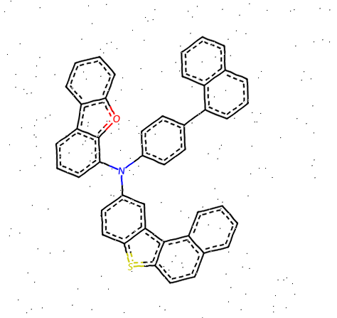 c1ccc2c(-c3ccc(N(c4ccc5sc6ccc7ccccc7c6c5c4)c4cccc5c4oc4ccccc45)cc3)cccc2c1